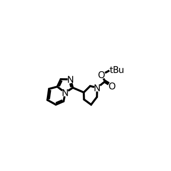 CC(C)(C)OC(=O)N1CCCC(c2ncc3ccccn23)C1